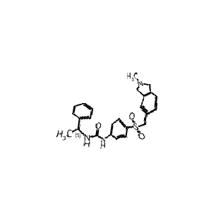 C[C@H](NC(=O)Nc1ccc(S(=O)(=O)Cc2ccc3c(c2)CN(C)C3)cc1)c1ccccc1